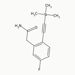 C[Si](C)(C)C#Cc1ccc(F)cc1CC(N)=O